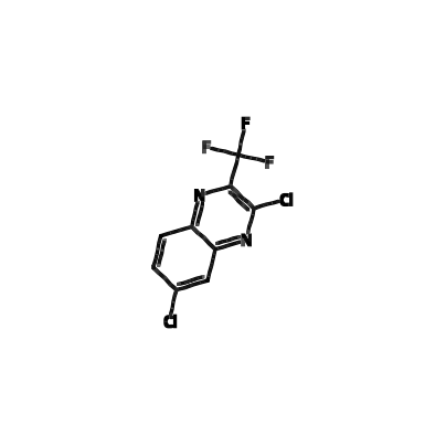 FC(F)(F)c1nc2ccc(Cl)cc2nc1Cl